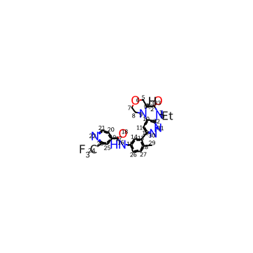 CCN1C(=O)[C@H]2COCCN2c2cc(-c3cc(NC(=O)c4ccnc(C(F)(F)F)c4)ccc3C)nnc21